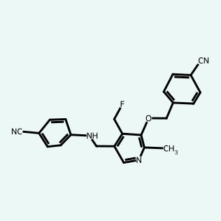 Cc1ncc(CNc2ccc(C#N)cc2)c(CF)c1OCc1ccc(C#N)cc1